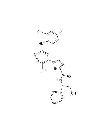 Cc1cnc(Nc2ccc(F)cc2Cl)nc1-n1ccc(C(=O)NC(CO)c2ccccc2)c1